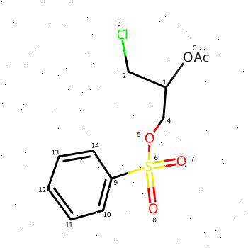 CC(=O)OC(CCl)COS(=O)(=O)c1ccccc1